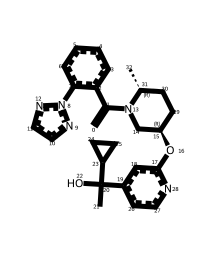 C=C(c1ccccc1-n1nccn1)N1C[C@H](Oc2cc(C(C)(O)C3CC3)ccn2)CC[C@H]1C